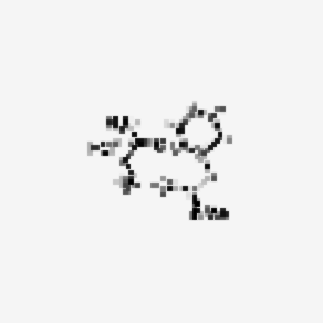 CCC(C)=O.CN[C@@H](C)Cc1ccccc1.Cl